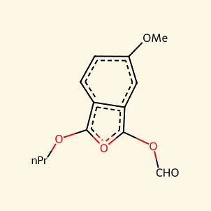 CCCOc1oc(OC=O)c2cc(OC)ccc12